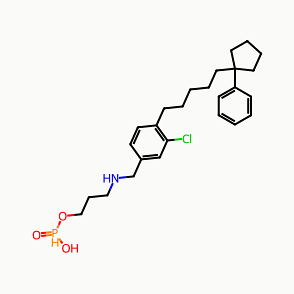 O=[PH](O)OCCCNCc1ccc(CCCCCC2(c3ccccc3)CCCC2)c(Cl)c1